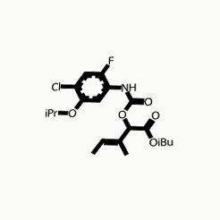 CC=C(C)C(OC(=O)Nc1cc(OC(C)C)c(Cl)cc1F)C(=O)OCC(C)C